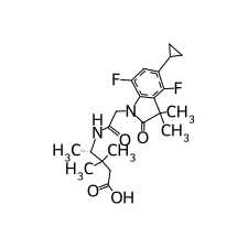 C[C@H](NC(=O)CN1C(=O)C(C)(C)c2c(F)c(C3CC3)cc(F)c21)C(C)(C)CC(=O)O